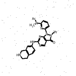 CC(=O)N(C)c1cccc(-n2c3nc(Nc4ccc5c(c4)CNCC5)ncc3c(=O)n2C(C)C)n1